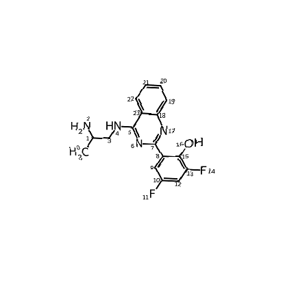 CC(N)CNc1nc(-c2cc(F)cc(F)c2O)nc2ccccc12